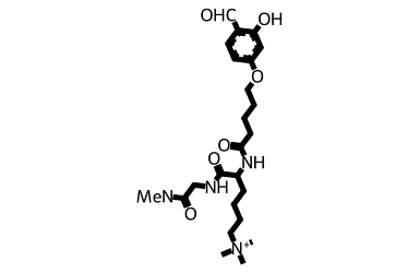 CNC(=O)CNC(=O)C(CCCC[N+](C)(C)C)NC(=O)CCCCOc1ccc(C=O)c(O)c1